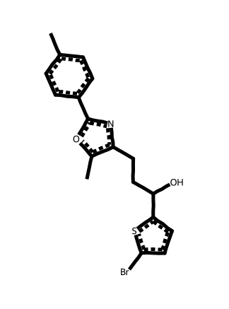 Cc1ccc(-c2nc(CCC(O)c3ccc(Br)s3)c(C)o2)cc1